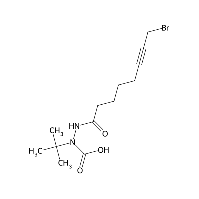 CC(C)(C)N(NC(=O)CCCCC#CCBr)C(=O)O